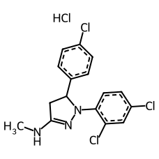 CNC1=NN(c2ccc(Cl)cc2Cl)C(c2ccc(Cl)cc2)C1.Cl